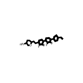 C=Cc1ccc(-c2ccc(-c3ccc(CCC4CCC(CCC)CO4)c(F)c3F)c(F)c2F)cc1